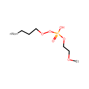 CCCCCCCCCCCCOOP(=O)(O)OCCOCC